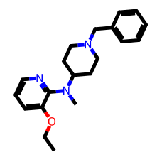 CCOc1cccnc1N(C)C1CCN(Cc2ccccc2)CC1